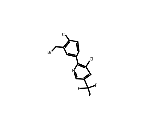 FC(F)(F)c1cnc(-c2ccc(Cl)c(CBr)c2)c(Cl)c1